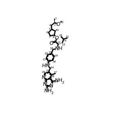 CO[C@H](C)CC1CCC(OC(=O)[C@H](CC(C)C)NCc2ccc(NCc3cnc4nc(N)nc(N)c4c3C)cc2)C1